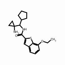 CCOc1cccc2cc(C(=O)NC(C3CCCC3)C3(N)CC3)sc12